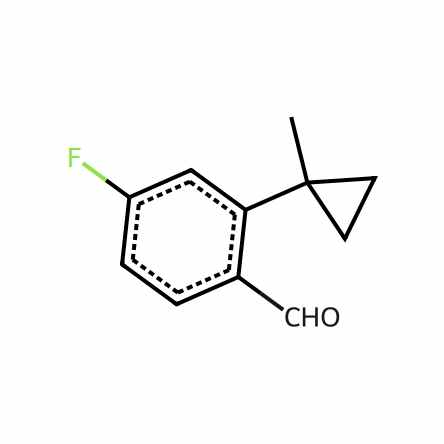 CC1(c2cc(F)ccc2C=O)CC1